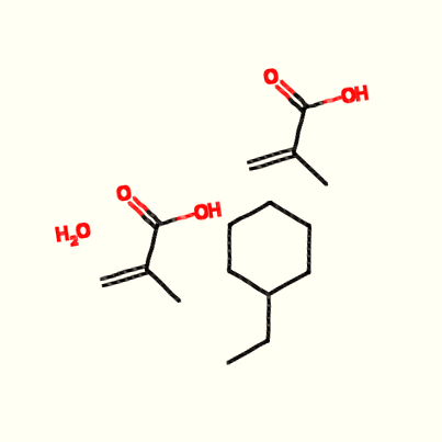 C=C(C)C(=O)O.C=C(C)C(=O)O.CCC1CCCCC1.O